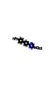 CCCCCCCCc1cnc(-c2ccc(-c3ccc(CCC)cc3)cc2)nc1